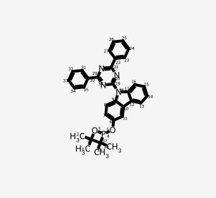 CC1(C)OP(Oc2ccc3c(c2)c2ccccc2n3-c2nc(-c3ccccc3)nc(-c3ccccc3)n2)C1(C)C